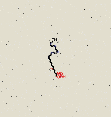 CC/C=C\C/C=C\C/C=C\C/C=C\C/C=C\CCCCCC(=O)CCC1COP(=O)(O)O1